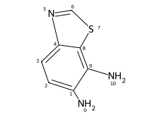 Nc1ccc2ncsc2c1N